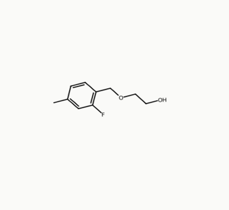 Cc1ccc(COCCO)c(F)c1